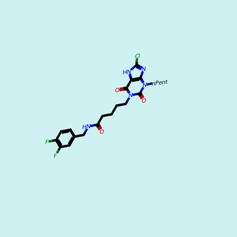 CCCCCn1c(=O)n(CCCCC(=O)NCc2ccc(F)c(F)c2)c(=O)c2[nH]c(Cl)nc21